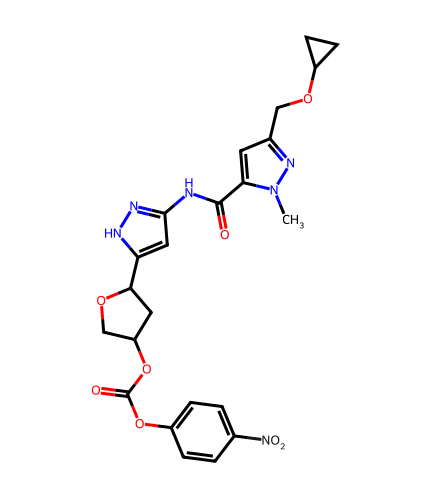 Cn1nc(COC2CC2)cc1C(=O)Nc1cc(C2CC(OC(=O)Oc3ccc([N+](=O)[O-])cc3)CO2)[nH]n1